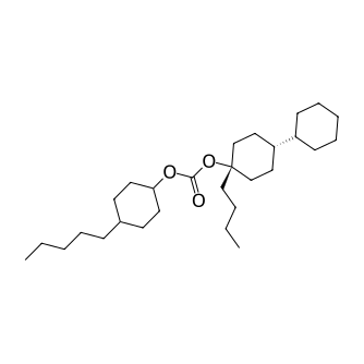 CCCCCC1CCC(OC(=O)O[C@]2(CCCC)CC[C@H](C3CCCCC3)CC2)CC1